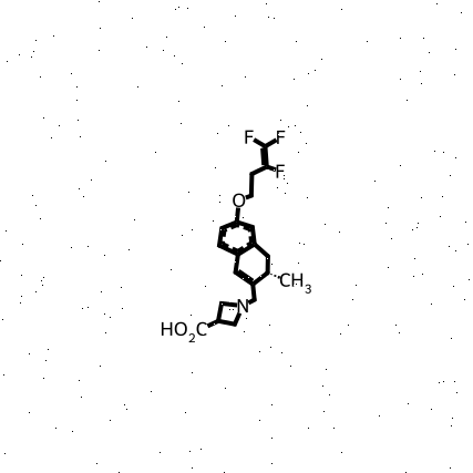 C[C@H]1Cc2cc(OCCC(F)=C(F)F)ccc2C=C1CN1CC(C(=O)O)C1